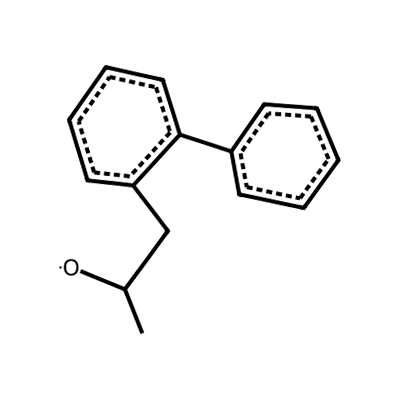 CC([O])Cc1ccccc1-c1ccccc1